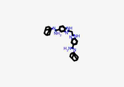 NC(=NC1C2CC3CC(C2)CC1C3)c1ccc2[nH]c(Cc3nc4cc(C(N)=NC5C6CC7CC(C6)CC5C7)ccc4[nH]3)nc2c1